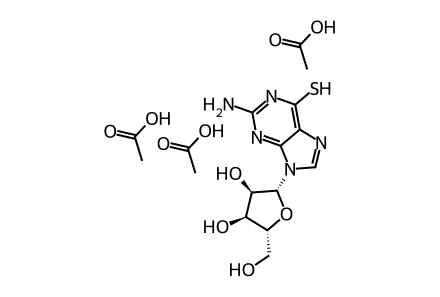 CC(=O)O.CC(=O)O.CC(=O)O.Nc1nc(S)c2ncn([C@@H]3O[C@H](CO)[C@@H](O)[C@H]3O)c2n1